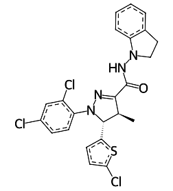 C[C@@H]1C(C(=O)NN2CCc3ccccc32)=NN(c2ccc(Cl)cc2Cl)[C@H]1c1ccc(Cl)s1